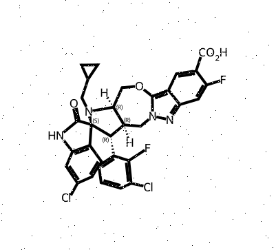 O=C(O)c1cc2c3n(nc2cc1F)C[C@@H]1[C@H](CO3)N(CC2CC2)[C@@]2(C(=O)Nc3cc(Cl)ccc32)[C@H]1c1cccc(Cl)c1F